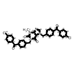 Cn1c(=O)n(Cc2ccc(C(=O)c3ccc(Cl)cc3)cc2)c(=O)c2c1ncn2Cc1ccc(C(=O)c2ccc(Cl)cc2)cc1